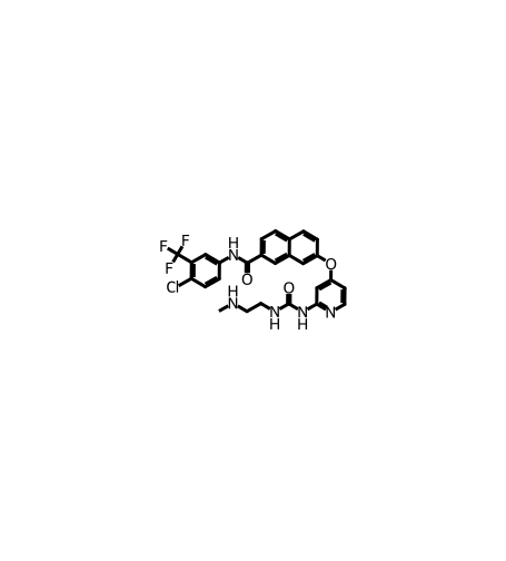 CNCCNC(=O)Nc1cc(Oc2ccc3ccc(C(=O)Nc4ccc(Cl)c(C(F)(F)F)c4)cc3c2)ccn1